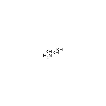 N.[KH].[KH].[KH]